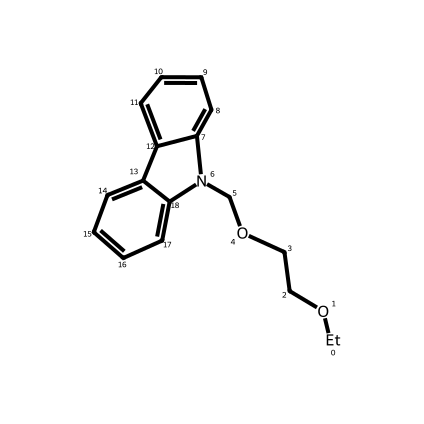 CCOCCOCn1c2ccccc2c2ccccc21